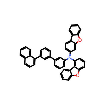 c1cc(-c2cccc(N(c3ccc4c(c3)oc3ccccc34)c3cccc4oc5ccccc5c34)c2)cc(-c2cccc3ccccc23)c1